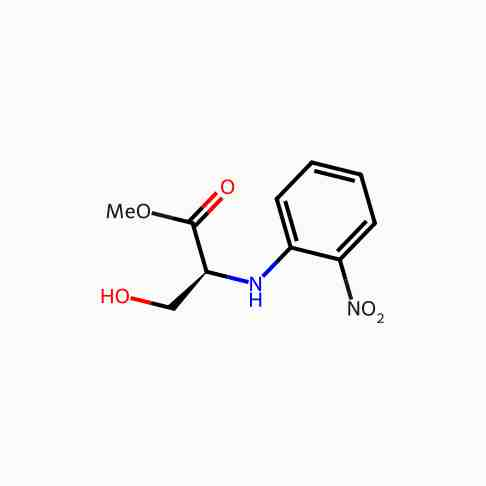 COC(=O)[C@H](CO)Nc1ccccc1[N+](=O)[O-]